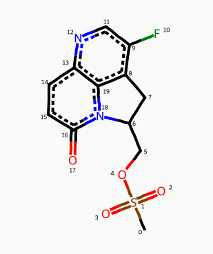 CS(=O)(=O)OCC1Cc2c(F)cnc3ccc(=O)n1c23